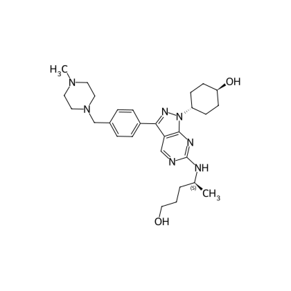 C[C@@H](CCCO)Nc1ncc2c(-c3ccc(CN4CCN(C)CC4)cc3)nn([C@H]3CC[C@H](O)CC3)c2n1